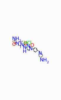 CC1CN(C(=O)C(C)(C)N)CC(C)N1C(=O)Nc1ccn(-c2ccc(CN3CCC(N)CC3)cc2)c(=O)n1.Cl